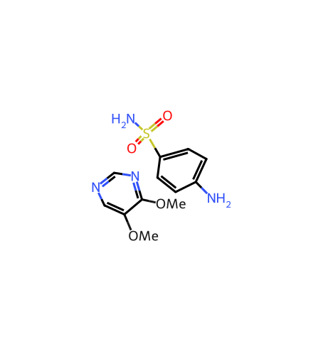 COc1cncnc1OC.Nc1ccc(S(N)(=O)=O)cc1